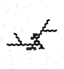 CCCCCCC(CCCCCC)CCCCC(C(=O)O)c1cc(CN(C)C)cc(C(CCCCC(CCCCCC)CCCCCC)C(=O)O)c1